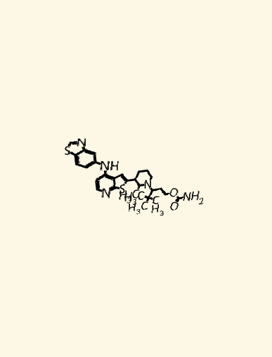 CC1C(c2cc3c(Nc4ccc5scnc5c4)ccnc3s2)CCCN1C(CCOC(N)=O)C(C)(C)C